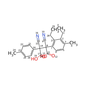 CCc1c(C)ccc(C(C#N)(C(=O)O)C(C#N)(C(=O)O)c2ccc(C)cc2)c1CC